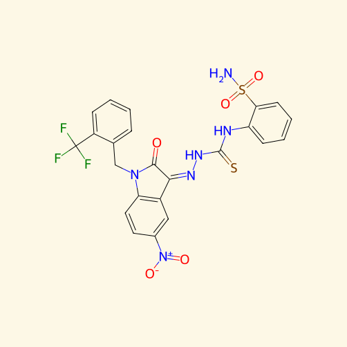 NS(=O)(=O)c1ccccc1NC(=S)NN=C1C(=O)N(Cc2ccccc2C(F)(F)F)c2ccc([N+](=O)[O-])cc21